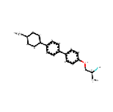 CCCCCCCC1CCC(c2ccc(-c3ccc(OC[C@@H](F)CCCCCC)cc3)cc2)CC1